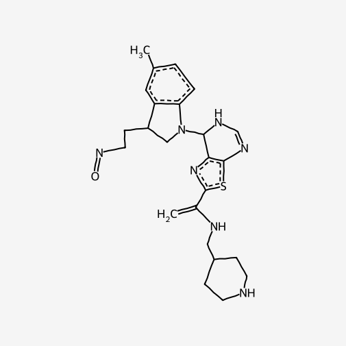 C=C(NCC1CCNCC1)c1nc2c(s1)N=CNC2N1CC(CCN=O)c2cc(C)ccc21